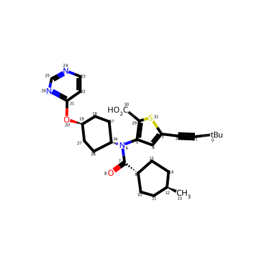 CC(C)(C)C#Cc1cc(N(C(=O)[C@H]2CC[C@H](C)CC2)[C@H]2CC[C@H](Oc3ccncn3)CC2)c(C(=O)O)s1